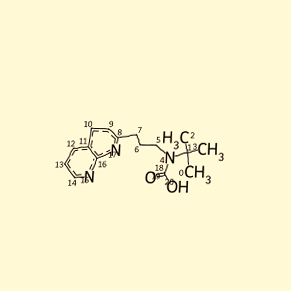 CC(C)(C)N(CCCc1ccc2cccnc2n1)C(=O)O